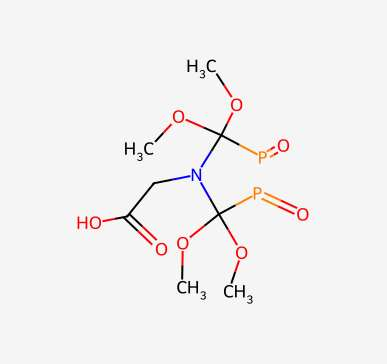 COC(OC)(P=O)N(CC(=O)O)C(OC)(OC)P=O